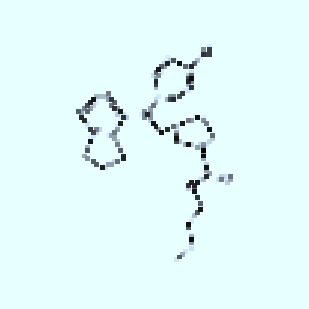 CCCCOC(=O)N1CCC2(C1)CN(c1ncnc3c1[C@H](C)CC3)c1ccc(Cl)cc12